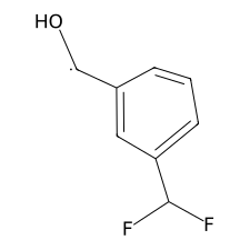 O[CH]c1cccc(C(F)F)c1